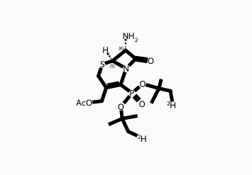 [2H]CC(C)(C)OP(=O)(OC(C)(C)C[2H])C1=C(COC(C)=O)CS[C@H]2[C@H](N)C(=O)N12